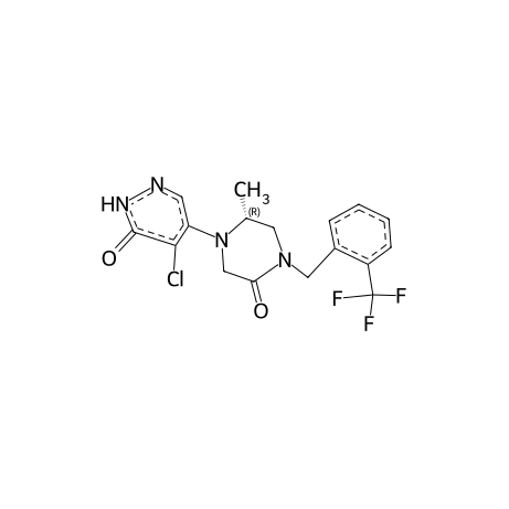 C[C@@H]1CN(Cc2ccccc2C(F)(F)F)C(=O)CN1c1cn[nH]c(=O)c1Cl